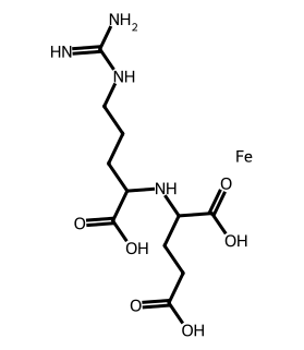 N=C(N)NCCCC(NC(CCC(=O)O)C(=O)O)C(=O)O.[Fe]